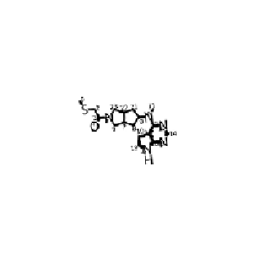 CSCC(=O)N1CC2CC(N(C)c3ncnc4[nH]ccc34)CC2C1